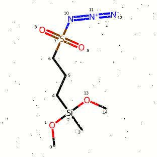 CO[Si](C)(CCCS(=O)(=O)N=[N+]=[N-])OC